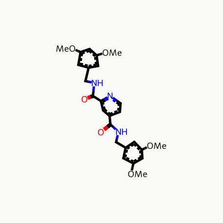 COc1cc(CNC(=O)c2ccnc(C(=O)NCc3cc(OC)cc(OC)c3)c2)cc(OC)c1